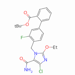 CCOc1nc(Cl)c(C(N)=O)n1Cc1ccc(-c2ccccc2C(=O)OC(C)(C)C)cc1F